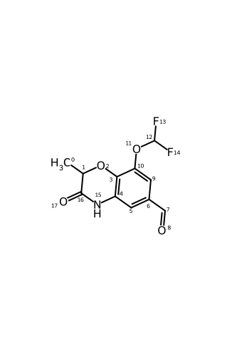 CC1Oc2c(cc(C=O)cc2OC(F)F)NC1=O